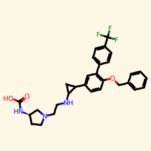 O=C(O)N[C@@H]1CCN(CCNC2CC2c2ccc(OCc3ccccc3)c(-c3ccc(C(F)(F)F)cc3)c2)C1